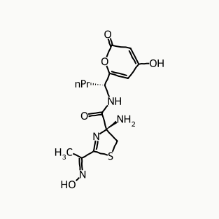 CCC[C@@H](NC(=O)[C@]1(N)CSC(/C(C)=N/O)=N1)c1cc(O)cc(=O)o1